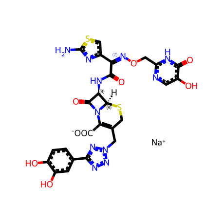 Nc1nc(/C(=N/OCc2ncc(O)c(=O)[nH]2)C(=O)N[C@@H]2C(=O)N3C(C(=O)[O-])=C(Cn4nnc(-c5ccc(O)c(O)c5)n4)CS[C@H]23)cs1.[Na+]